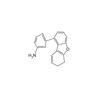 Nc1cccc(-c2cccc3oc4c(c23)C=CCC4)c1